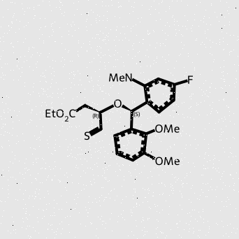 CCOC(=O)C[C@H](C=S)O[C@@H](c1ccc(F)cc1NC)c1cccc(OC)c1OC